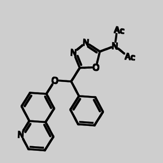 CC(=O)N(C(C)=O)c1nnc(C(Oc2ccc3ncccc3c2)c2ccccc2)o1